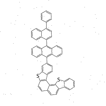 c1ccc(-c2ccc(-c3c4ccccc4c(-c4ccc5c(c4)sc4ccc6ccc7c8ccccc8sc7c6c45)c4ccccc34)c3ccccc23)cc1